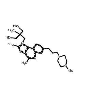 CCCCc1nc2c(N)nc3cc(CCCN4CCN(CCCC)CC4)ccc3c2n1CC(C)(CO)CO